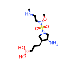 CNCCN(OC)S(=O)(=O)N1C[C@H](CCCB(O)O)[C@@H](N)C1